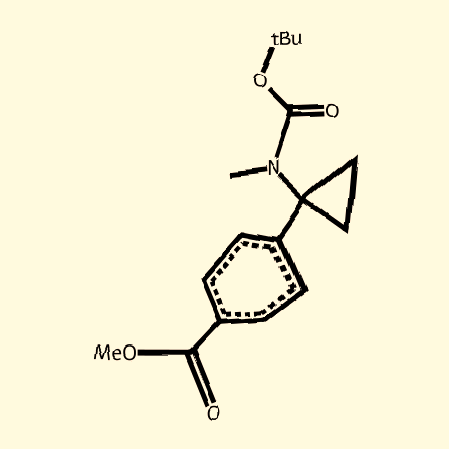 COC(=O)c1ccc(C2(N(C)C(=O)OC(C)(C)C)CC2)cc1